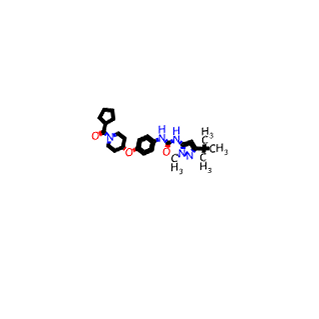 Cn1nc(C(C)(C)C)cc1NC(=O)Nc1ccc(OC2CCN(C(=O)C3CCCC3)CC2)cc1